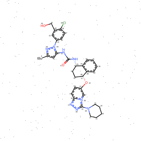 CC(C)(C)c1cc(NC(=O)N[C@H]2CC[C@@H](Oc3ccc4nnc(N5CCCCC5)n4c3)c3ccccc32)n(-c2ccc(Cl)c(CO)c2)n1